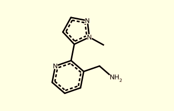 Cn1nccc1-c1ncccc1CN